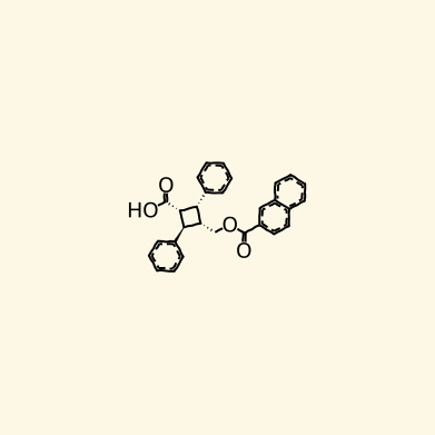 O=C(OC[C@H]1[C@@H](c2ccccc2)[C@@H](C(=O)O)[C@@H]1c1ccccc1)c1ccc2ccccc2c1